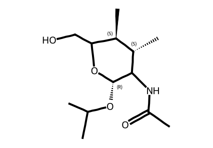 CC(=O)NC1[C@H](OC(C)C)OC(CO)[C@@H](C)[C@@H]1C